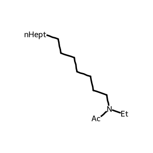 CCCCCCCCCCCCCCN(CC)C(C)=O